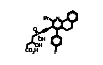 CC(C)c1nc2c(c(-c3ccc(F)cc3)c1C#CP(=O)(O)CC(O)CC(=O)O)CCc1ccccc1-2